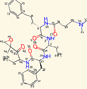 CC(C)CC(NC(=O)[C@H](CCc1ccccc1)NC(=O)CCCN(C)C)C(=O)N[C@@H](Cc1ccccc1)C(=O)NC(CC(C)C)C(=O)C1(C)CO1